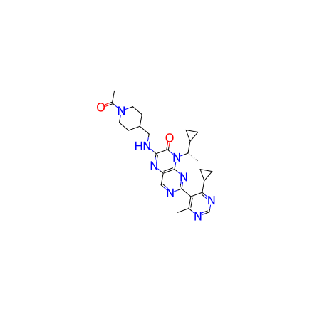 CC(=O)N1CCC(CNc2nc3cnc(-c4c(C)ncnc4C4CC4)nc3n([C@@H](C)C3CC3)c2=O)CC1